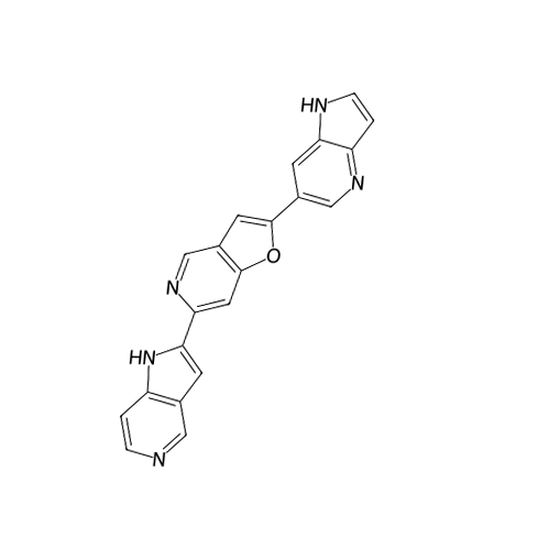 c1cc2[nH]c(-c3cc4oc(-c5cnc6cc[nH]c6c5)cc4cn3)cc2cn1